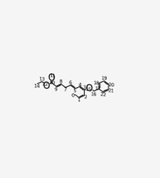 C\C=C/C(=C\C=C\C/C=C/C(=O)OCC)OCc1ccccc1